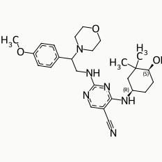 COc1ccc(C(CNc2ncc(C#N)c(N[C@@H]3CC[C@H](O)C(C)(C)C3)n2)N2CCOCC2)cc1